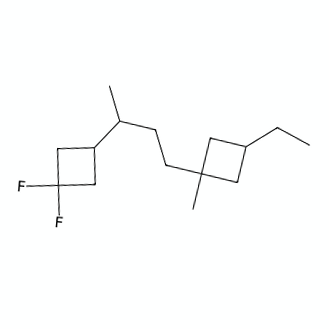 CCC1CC(C)(CCC(C)C2CC(F)(F)C2)C1